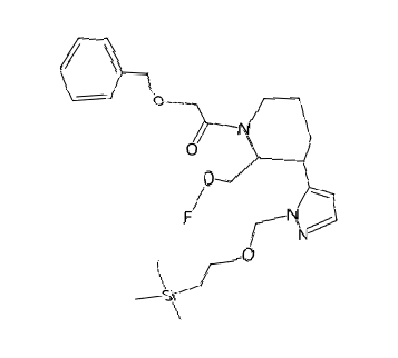 C[Si](C)(C)CCOCn1nccc1C1CCCN(C(=O)COCc2ccccc2)C1COF